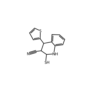 N#CC1C(S)Nc2ccccc2C1c1cccs1